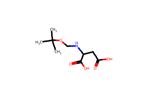 CC(C)(C)OCNC(CC(=O)O)C(=O)O